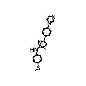 CSc1ccc(Nc2nc(-c3ccc(-n4ccnc4)cc3)cs2)cc1